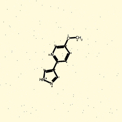 COc1ccc(-c2cn[nH]c2)nc1